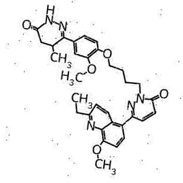 CCc1ccc2c(-c3ccc(=O)n(CCCCOc4ccc(C5=NNC(=O)CC5C)cc4OC)n3)ccc(OC)c2n1